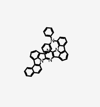 c1ccc(N(c2ccccc2)c2cccc3c4cccc5c6nc7c(nc6n(c23)c45)c2cccc3c4c5ccccc5ccc4n7c23)cc1